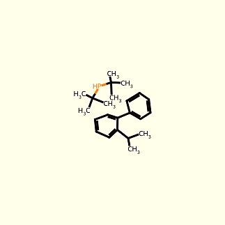 CC(C)(C)PC(C)(C)C.CC(C)c1ccccc1-c1ccccc1